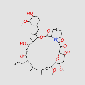 C=CCC1/C=C(\C)CC(C)CC(OC)C2O[C@@](O)(C(=O)C(=O)N3CCCCC3C(=O)OC(/C(C)=C/C3CCC(O)[C@H](OC)C3)C(C)C(O)CC1=O)[C@H](C)C[C@@H]2OC